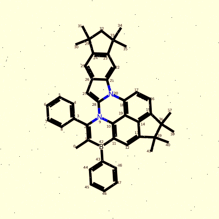 CC1=C(c2ccccc2)n2c3c(cc4c5c(ccc(c53)n3c5cc6c(cc5cc23)C(C)(C)CC6(C)C)C(C)(C)C4(C)C)B1c1ccccc1